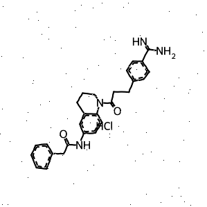 Cl.N=C(N)c1ccc(CCC(=O)N2CCCc3cc(NC(=O)Cc4ccccc4)ccc32)cc1